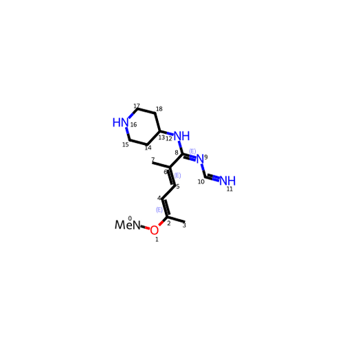 CNO/C(C)=C/C=C(C)/C(=N\C=N)NC1CCNCC1